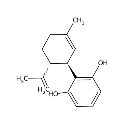 C=C(C)[C@@H]1CCC(C)=C[C@H]1c1c(O)cccc1O